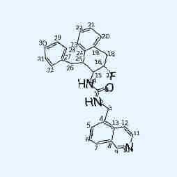 O=C(NCc1cccc2cnccc12)NC1C(F)Cc2ccccc2C1Cc1ccccc1